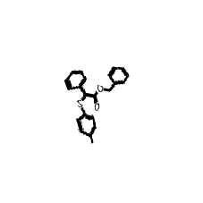 Cc1ccc(SC(C(=O)OCc2ccccc2)c2ccccc2)cc1